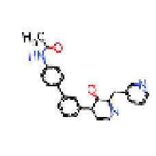 CC(=O)Nc1ccc(-c2cccc(C3C=CN=C(Cc4cccnc4)C3=O)c2)cc1